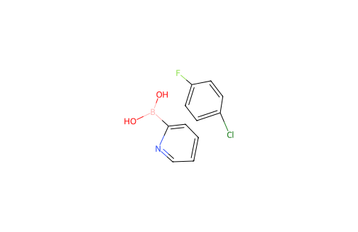 Fc1ccc(Cl)cc1.OB(O)c1ccccn1